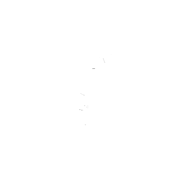 C=C(CCNC(=O)CC[C@H]1C2CCCCCCC21C)CCC(C)CC(C)CCC(=O)CCP(C)C(=C)CCC